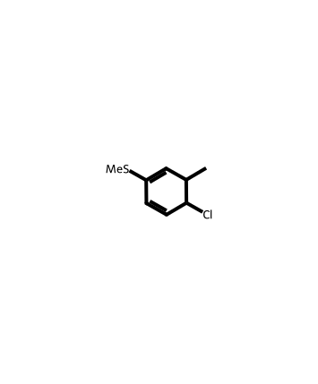 CSC1=CC(C)C(Cl)C=C1